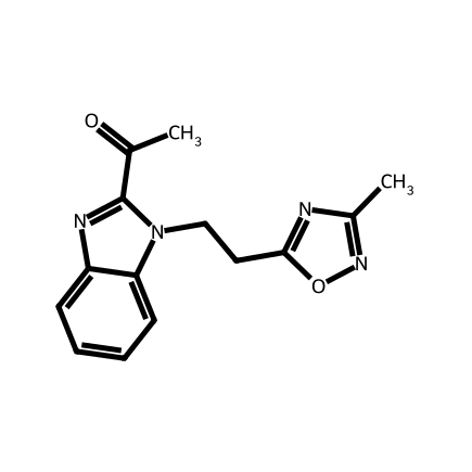 CC(=O)c1nc2ccccc2n1CCc1nc(C)no1